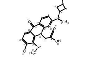 CO[C@H]1C[C@@H](N(C)c2ccc3c(=O)c4ccc(Cl)c(SC)c4n(CC(=O)O)c3n2)C1